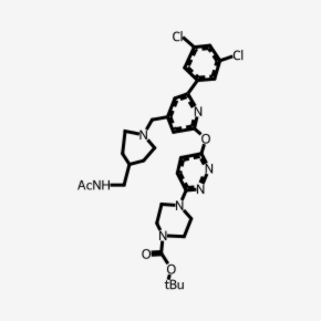 CC(=O)NCC1CCN(Cc2cc(Oc3ccc(N4CCN(C(=O)OC(C)(C)C)CC4)nn3)nc(-c3cc(Cl)cc(Cl)c3)c2)CC1